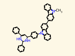 Cn1c2ccccc2c2cc(-c3ccc4c(c3)c3ccccc3n4-c3ccc(C4C=C(c5ccccc5)NC(c5ccccc5)N4)cc3)ccc21